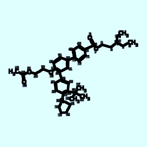 CCN(CC)CCOC(=O)c1ccc(-c2ccc(OCCOC(C)=O)c(-c3ccc(N4CCCC4)c(C(C)(C)C)c3)c2)cc1